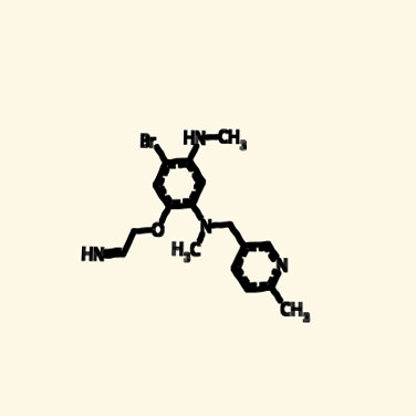 CNc1cc(N(C)Cc2ccc(C)nc2)c(OCC=N)cc1Br